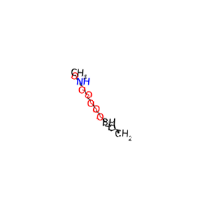 C=Cc1ccc(CBCCOCCOCCOCCOCCOCCNCCOC)cc1